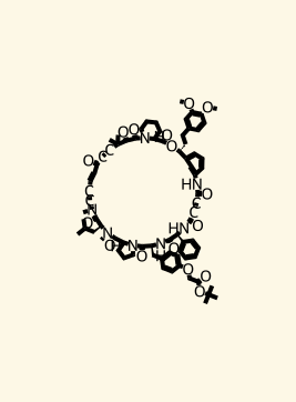 COc1ccc(CC[C@H]2OC(=O)[C@@H]3CCCCN3C(=O)C(=O)C(C)(C)CCC(=O)/C=C/CCN(C)C(=O)[C@H](CC(C)C)N(C)C(=O)[C@H]3CCCN3C(=O)[C@H](Cc3ccc(OCC(=O)OC(C)(C)C)cc3)NC(=O)[C@H](c3ccccc3)NC(=O)CCC(=O)Nc3cccc2c3)cc1OC